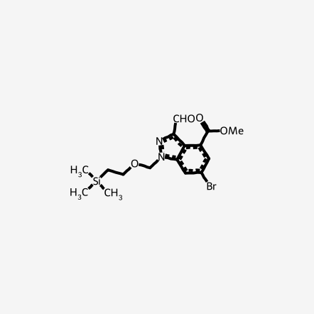 COC(=O)c1cc(Br)cc2c1c(C=O)nn2COCC[Si](C)(C)C